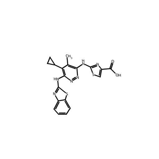 Cc1c(Nc2nc(C(=O)O)cs2)nnc(Nc2nc3ccccc3s2)c1C1CC1